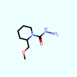 COCC1CCCCN1C(=O)NN